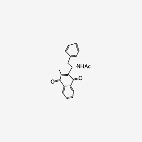 CC(=O)N[C@@H](Cc1ccccc1)C1=C(C)C(=O)c2ccccc2C1=O